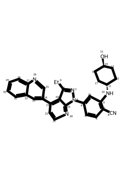 CCc1nn(-c2ccc(C#N)c(N[C@H]3CC[C@H](O)CC3)c2)c2nccc(-c3cnc4ccccc4c3)c12